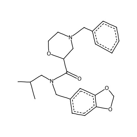 CC(C)CN(Cc1ccc2c(c1)OCO2)C(=O)C1CN(Cc2ccccc2)CCO1